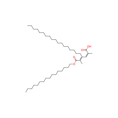 CCCCCCCCCCCCCCCCCCC(C=C(C)C(=O)O)=C(C)C(=O)OCCCCCCCCCCCCCCCC